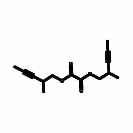 CC#CC(C)COC(=O)C(=O)OCC(C)C#CC